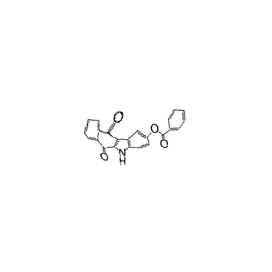 O=C(Oc1ccc2[nH]c3c(c2c1)C(=O)c1ccccc1C3=O)c1ccccc1